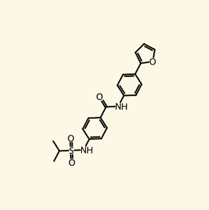 CC(C)S(=O)(=O)Nc1ccc(C(=O)Nc2ccc(-c3ccco3)cc2)cc1